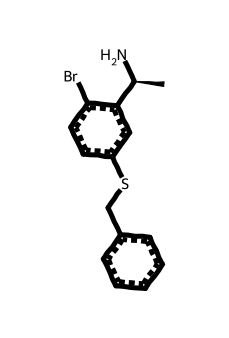 C[C@H](N)c1cc(SCc2ccccc2)ccc1Br